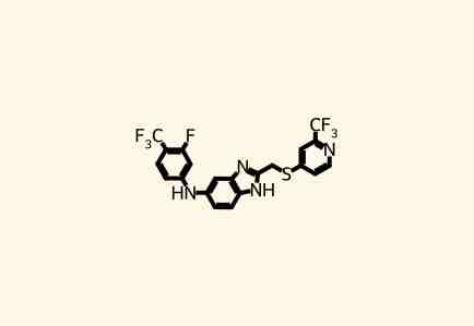 Fc1cc(Nc2ccc3[nH]c(CSc4ccnc(C(F)(F)F)c4)nc3c2)ccc1C(F)(F)F